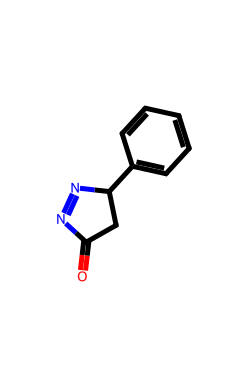 O=C1CC(c2ccccc2)N=N1